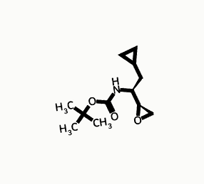 CC(C)(C)OC(=O)N[C@@H](CC1CC1)[C@H]1CO1